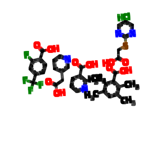 Cc1cc(C)c(C)c(C(=O)O)c1C.Cc1ncccc1C(=O)O.Cl.O=C(O)CSc1ncccn1.O=C(O)Cc1cccnc1.O=C(O)c1ccc(C(F)(F)F)cc1F